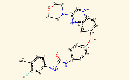 N#Cc1ccc(NC(=O)Nc2ccc(Oc3ccc4ncc(N5CCOCC5)nc4c3)cc2)cc1F